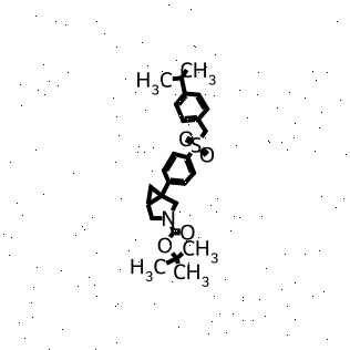 CC(C)c1ccc(CS(=O)(=O)c2ccc(C34CC3CN(C(=O)OC(C)(C)C)C4)cc2)cc1